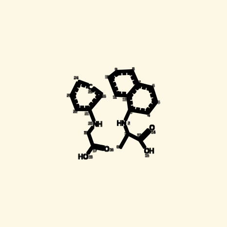 CC(Nc1cccc2ccccc12)C(=O)O.O=C(O)CNc1ccccc1